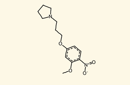 COc1cc(OCCCN2CCCC2)ccc1[N+](=O)[O-]